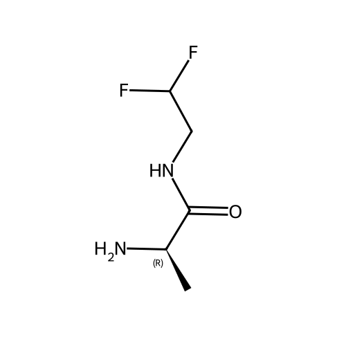 C[C@@H](N)C(=O)NCC(F)F